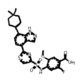 COc1cc(C(=O)O)c(F)cc1NS(=O)(=O)c1csc(-c2ccc(C3CCC(C)(C)CC3)c3[nH]ncc23)n1